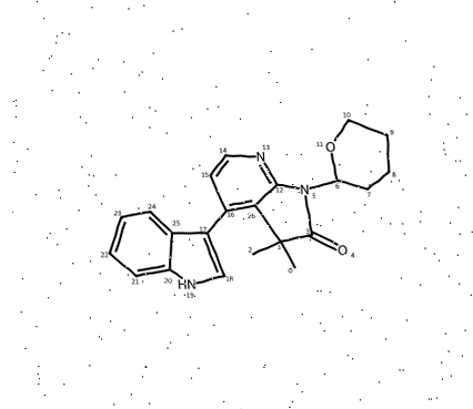 CC1(C)C(=O)N(C2CCCCO2)c2nccc(-c3c[nH]c4ccccc34)c21